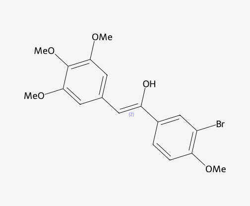 COc1ccc(/C(O)=C/c2cc(OC)c(OC)c(OC)c2)cc1Br